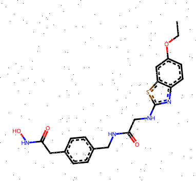 CCOc1ccc2nc(NCC(=O)NCc3ccc(CC(=O)NO)cc3)sc2c1